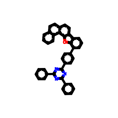 c1ccc(-c2nc(-c3ccccc3)nc(-c3ccc(-c4cccc5c4oc4c5ccc5ccc6ccccc6c54)cc3)n2)cc1